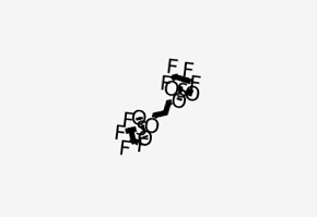 O=S(=O)(OCCCOS(=O)(=O)C(F)(F)C(F)F)C(F)(F)C(F)F